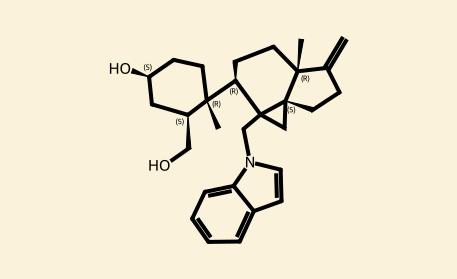 C=C1CC[C@@]23CC2(Cn2ccc4ccccc42)[C@@H]([C@@]2(C)CC[C@H](O)C[C@@H]2CO)CC[C@]13C